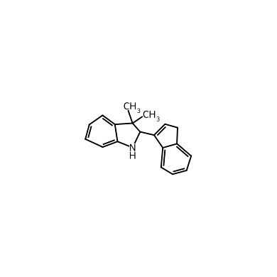 CC1(C)c2ccccc2NC1C1=CCc2ccccc21